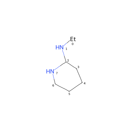 CCNC1CCCCN1